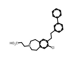 O=C(O)CCN1CCc2cc(Cl)c(CCc3cccc(-c4ccccc4)c3)cc2CC1